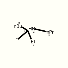 CCCCC(C)(CC)NCCC